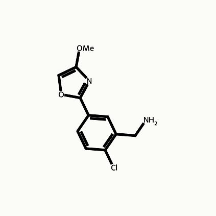 COc1coc(-c2ccc(Cl)c(CN)c2)n1